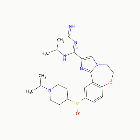 CC(C)N/C(=N\C=N)c1cn2c(n1)-c1cc([S+]([O-])C3CCN(C(C)C)CC3)ccc1OCC2